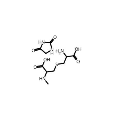 CNC(CSCC(N)C(=O)O)C(=O)O.O=C1CNC(=O)N1